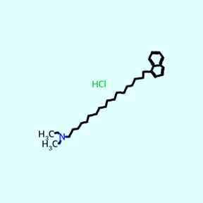 CCN(CC)CCCCCCCCCCCCCCCCCCc1cccc2ccccc12.Cl